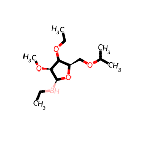 CCB[C@@H]1O[C@H](COC(C)C)C(OCC)[C@@H]1OC